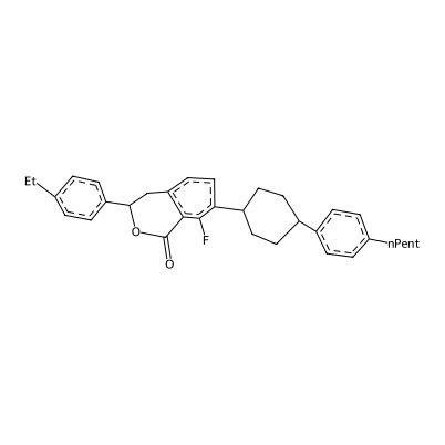 CCCCCc1ccc(C2CCC(c3ccc4c(c3F)C(=O)OC(c3ccc(CC)cc3)C4)CC2)cc1